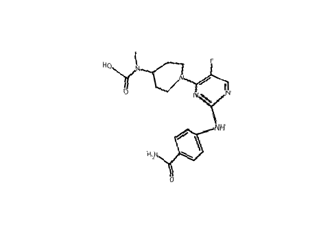 CN(C(=O)O)C1CCN(c2nc(Nc3ccc(C(N)=O)cc3)ncc2F)CC1